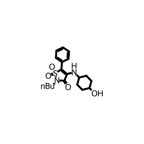 CCCCN1C(=O)C(NC2CCC(O)CC2)=C(c2ccccc2)S1(=O)=O